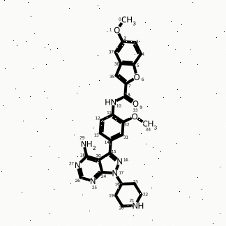 COc1ccc2oc(C(=O)Nc3ccc(-c4nn(C5CCNCC5)c5ncnc(N)c45)cc3OC)cc2c1